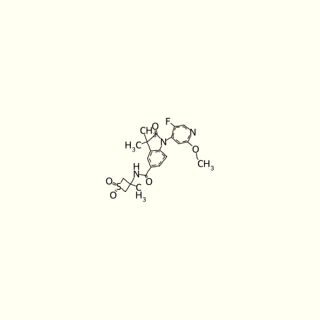 CCOc1cc(N2C(=O)C(C)(C)c3cc(C(=O)NC4(C)CS(=O)(=O)C4)ccc32)c(F)cn1